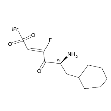 CC(C)S(=O)(=O)C=C(F)C(=O)[C@@H](N)CC1CCCCC1